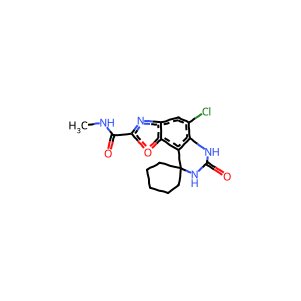 CNC(=O)c1nc2cc(Cl)c3c(c2o1)C1(CCCCC1)NC(=O)N3